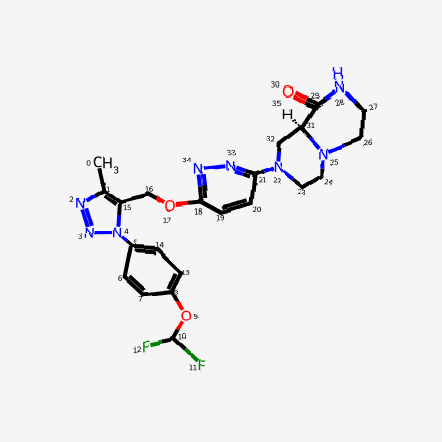 Cc1nnn(-c2ccc(OC(F)F)cc2)c1COc1ccc(N2CCN3CCNC(=O)[C@@H]3C2)nn1